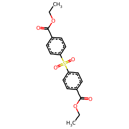 CCOC(=O)c1ccc(S(=O)(=O)c2ccc(C(=O)OCC)cc2)cc1